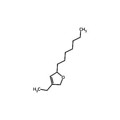 CCCCCCCC1C=C(CC)CO1